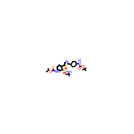 CC(C)OC(=O)Nc1ccc(-c2cnc(C3CCC(NC(=O)OC(C)(C)C)CC3)s2)c(S(=O)(=O)NC(C)(C)C)c1